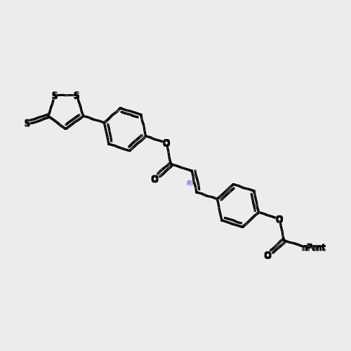 CCCCCC(=O)Oc1ccc(/C=C/C(=O)Oc2ccc(-c3cc(=S)ss3)cc2)cc1